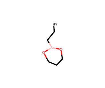 CC(C)CCB1OCCCO1